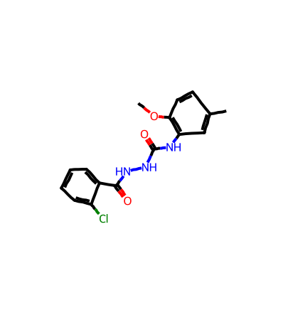 COc1ccc(C)cc1NC(=O)NNC(=O)c1ccccc1Cl